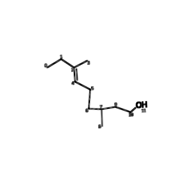 CCC(C)=CCCC(C)CCO